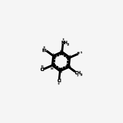 CCc1c(N)c(F)c(C)c(Cl)c1Cl